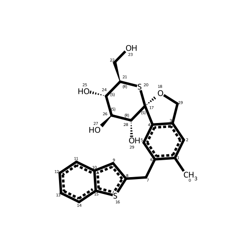 Cc1cc2c(cc1Cc1cc3ccccc3s1)[C@]1(OC2)S[C@H](CO)[C@@H](O)[C@H](O)[C@H]1O